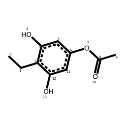 CCc1c(O)cc(OC(C)=O)cc1O